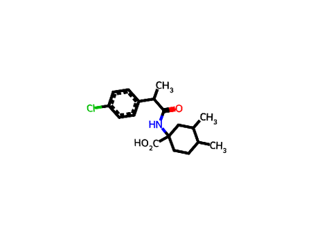 CC(C(=O)NC1(C(=O)O)CCC(C)C(C)C1)c1ccc(Cl)cc1